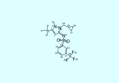 Cn1c(C(C)(C)C)c/c(=N\S(=O)(=O)c2cccc(C(F)(F)F)c2)n1CC1CC1